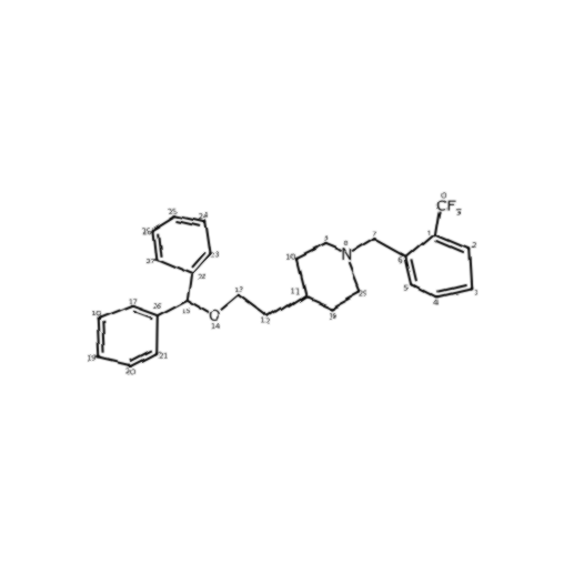 FC(F)(F)c1ccccc1CN1CCC(CCOC(c2ccccc2)c2ccccc2)CC1